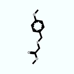 COC(=O)CSCc1ccc(OC)cc1